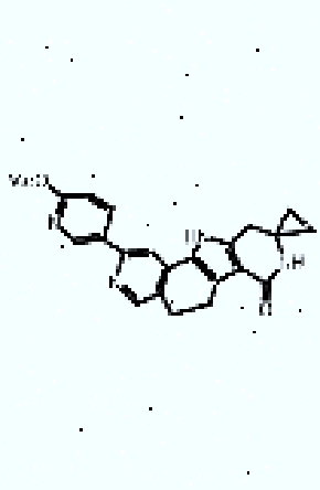 COc1ccc(-c2cc3c(cn2)CCc2c-3[nH]c3c2C(=O)NC2(CC2)C3)cn1